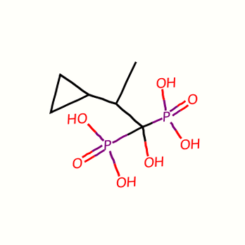 CC(C1CC1)C(O)(P(=O)(O)O)P(=O)(O)O